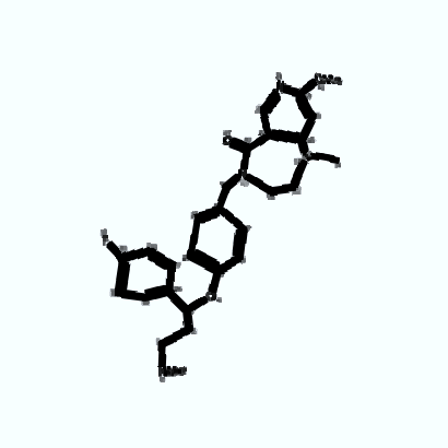 CNCCC(Oc1ccc(CN2CCN(C)c3cc(OC)ncc3C2=O)cc1)c1ccc(F)cc1